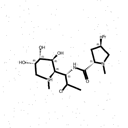 CCC[C@@H]1C[C@@H](C(=O)N[C@H](C(C)Cl)[C@@H]2[C@H](O)[C@@H](O)[C@@H](O)C[SH]2C)N(C)C1